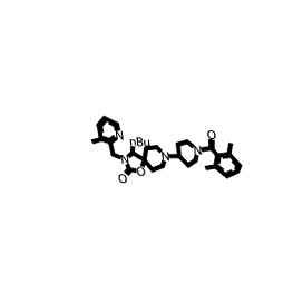 CCCCC1N(Cc2ncccc2C)C(=O)OC12CCN(C1CCN(C(=O)c3c(C)cccc3C)CC1)CC2